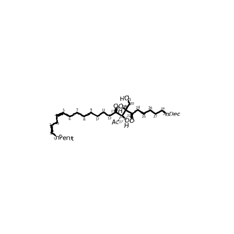 CCCCC/C=C\C/C=C\CCCCCCCC(=O)[C@@](O)(C(C)=O)C(O)(CO)C(=O)CCCCCCCCCCCCCCC